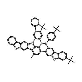 Cc1cc2c3c4c1c1cc5oc6ccccc6c5cc1n4-c1cc4c(cc1B3N(c1ccc(C(C)(C)C)cc1)c1cc3c(cc1-2)oc1cc(C(C)(C)C)ccc13)C(C)(C)c1ccccc1-4